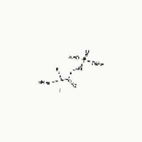 CCCCCCC(F)(F)C(=O)COP(=O)(OC)OC